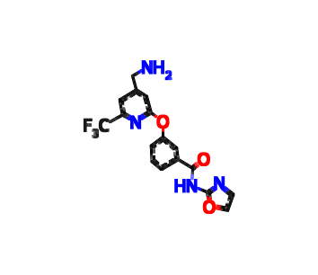 NCc1cc(Oc2cccc(C(=O)Nc3ncco3)c2)nc(C(F)(F)F)c1